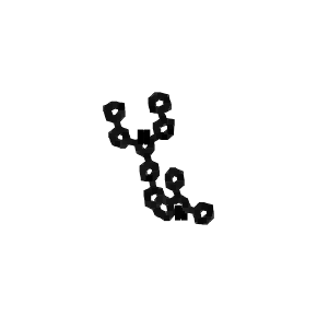 c1ccc(-c2cccc(-c3cc(-c4ccc(-c5ccc6ccc7nc(-c8ccccc8)cc(-c8ccccc8)c7c6c5)cc4)cc(-c4cccc(-c5ccccc5)c4)n3)c2)cc1